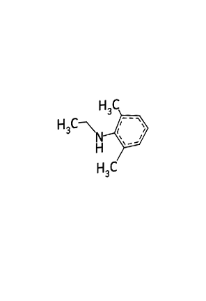 CCNc1c(C)cccc1C